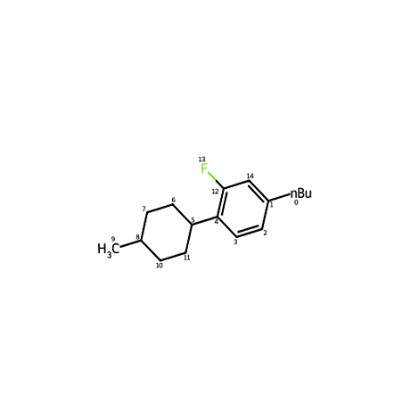 CCCCc1ccc(C2CCC(C)CC2)c(F)c1